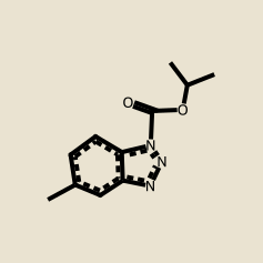 Cc1ccc2c(c1)nnn2C(=O)OC(C)C